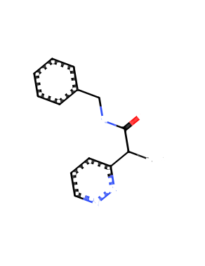 CC(=O)NC(C(=O)NCc1ccccc1)c1cccnn1